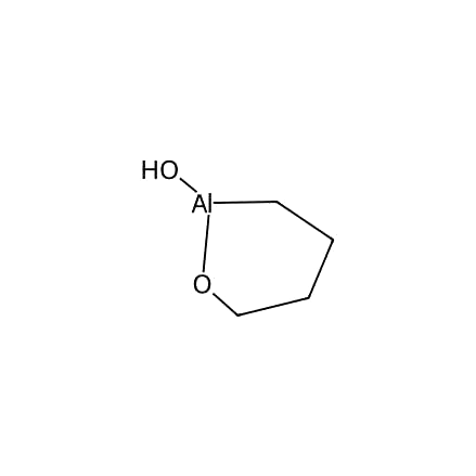 [OH][Al]1[CH2]CCC[O]1